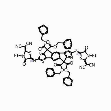 CCN1C(=O)/C(=N/c2nc3c(s2)-c2cc4c(cc2C3(C(=O)OCc2ccccc2)C(=O)OCc2ccccc2)-c2sc(/N=C3\SC(=C(C#N)C#N)N(CC)C3=O)nc2C4(C(=O)OCc2ccccc2)C(=O)OCc2ccccc2)SC1=C(C#N)C#N